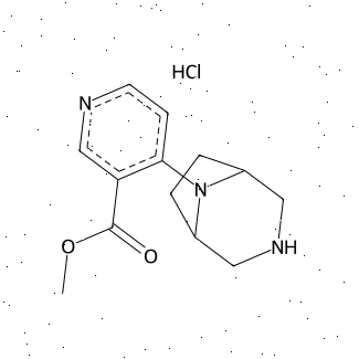 COC(=O)c1cnccc1N1C2CCC1CNC2.Cl